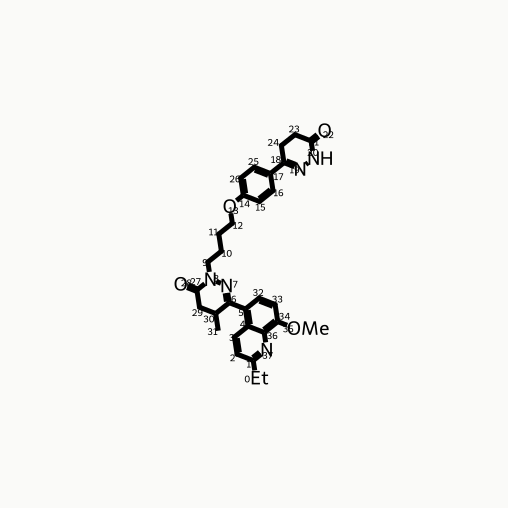 CCc1ccc2c(C3=NN(CCCCOc4ccc(C5=NNC(=O)CC5)cc4)C(=O)CC3C)ccc(OC)c2n1